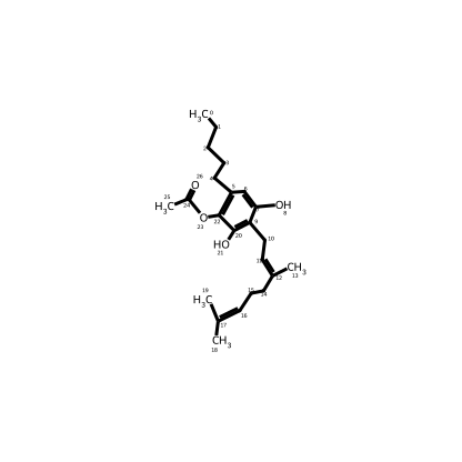 CCCCCc1cc(O)c(C/C=C(\C)CCC=C(C)C)c(O)c1OC(C)=O